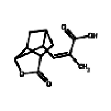 CC(=CC1C2CC3C(=O)OC1C3C2)C(=O)O